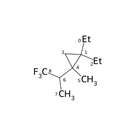 CCC1(CC)CC1(C)C(C)C(F)(F)F